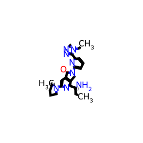 CC[C@@H](N)c1nc(N2CCC[C@H]2C)cc2c1CN(c1cccc(-c3nncn3CC)n1)C2=O